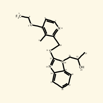 Cc1c(OCC(F)(F)F)ccnc1CSc1nc2ccccc2n1CC(C)O